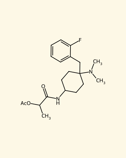 CC(=O)OC(C)C(=O)NC1CCC(Cc2ccccc2F)(N(C)C)CC1